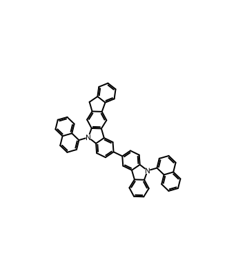 c1ccc2c(c1)Cc1cc3c(cc1-2)c1cc(-c2ccc4c(c2)c2ccccc2n4-c2cccc4ccccc24)ccc1n3-c1cccc2ccccc12